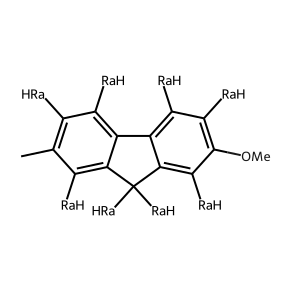 COc1[c]([RaH])[c]([RaH])c2c([c]1[RaH])[C]([RaH])([RaH])c1[c]([RaH])c(C)[c]([RaH])[c]([RaH])c1-2